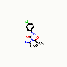 COC(=N)N(C(=O)Nc1ccc(Cl)cc1)C(=O)OC